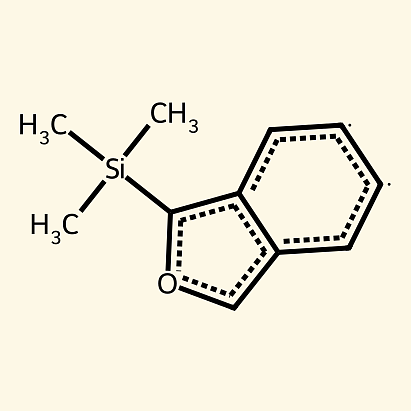 C[Si](C)(C)c1occ2c[c][c]cc12